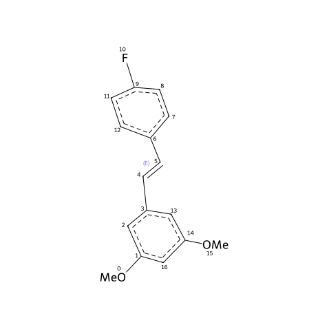 COc1cc(/C=C/c2ccc(F)cc2)cc(OC)c1